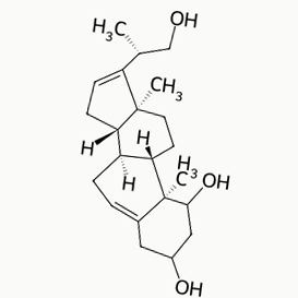 C[C@H](CO)C1=CC[C@H]2[C@@H]3CC=C4CC(O)CC(O)[C@]4(C)[C@H]3CC[C@]12C